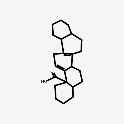 O=C(O)C12CCCCC1CCC1C2=CCC2=C1CCC1CCCCC21